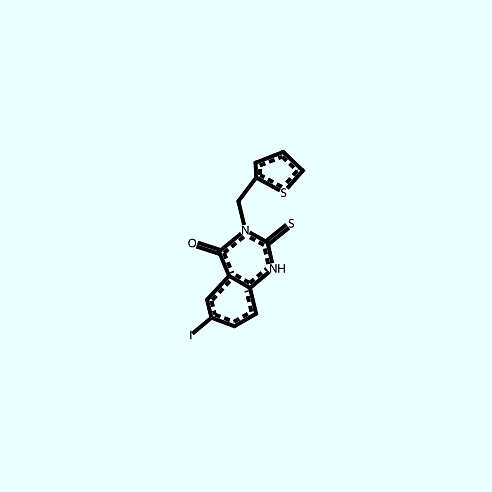 O=c1c2cc(I)ccc2[nH]c(=S)n1Cc1cccs1